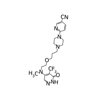 CN(CCOCCCN1CCN(c2ccc(C#N)cn2)CC1)c1cn[nH]c(=O)c1C(F)(F)F